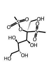 CS(=O)(=O)O[C@](CO)([C@@H](O)[C@H](O)[C@H](O)CO)S(C)(=O)=O